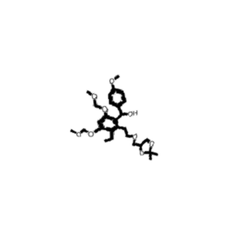 CCc1c(OCOC)cc(OCOC)c(C(O)c2ccc(OC)cc2)c1CCOCC1COC(C)(C)O1